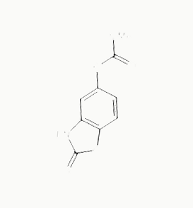 COC(=O)Oc1ccc2oc(=O)[nH]c2c1